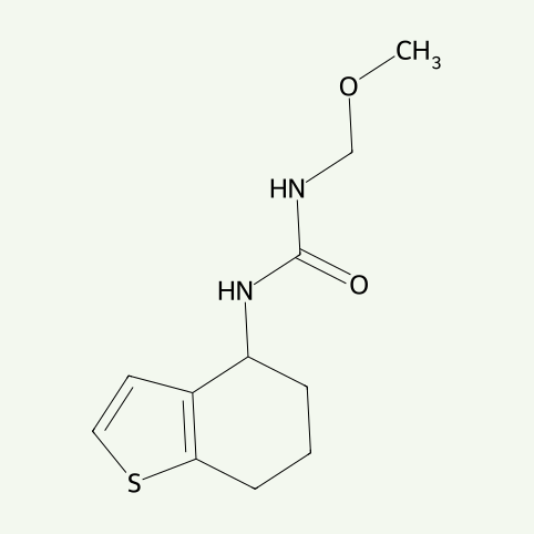 COCNC(=O)NC1CCCc2sccc21